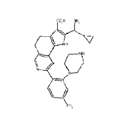 Cc1ccc(-c2cc3c(cn2)CCc2c-3[nH]c(C(N)C3CC3)c2C(=O)O)c(N2CCNCC2)c1